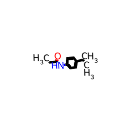 CCC(=O)Nc1ccc(C(C)C)cc1